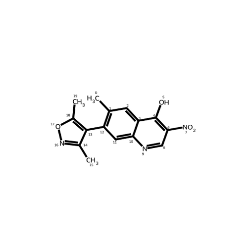 Cc1cc2c(O)c([N+](=O)[O-])cnc2cc1-c1c(C)noc1C